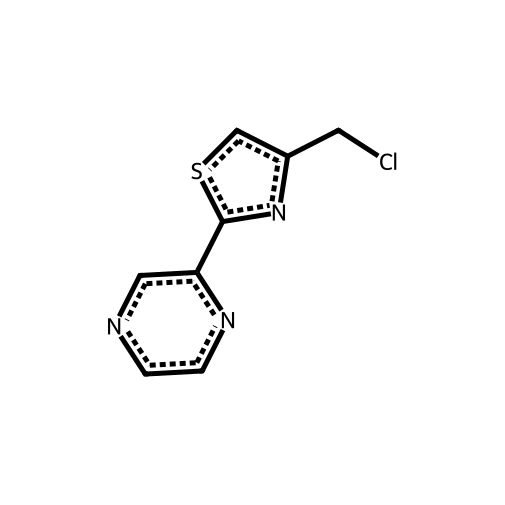 ClCc1csc(-c2cnccn2)n1